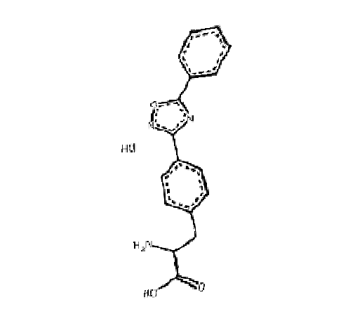 Cl.NC(Cc1ccc(-c2noc(-c3ccccc3)n2)cc1)C(=O)O